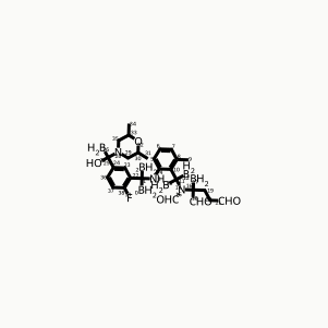 BC(B)(Nc1cccc(C)c1C(B)(B)N(C=O)C(B)(C=O)CCC=O)c1cc(C(B)(O)N2CC(C)OC(C)C2)ccc1F